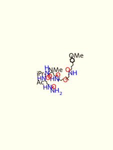 CNC(CCC(=O)NC(C)(C)CCOC(C)(C)CCNC(=O)CCCc1ccc(OC)cc1)C(=O)NC(C(=O)NC(CCCNC(N)=O)C(C)=O)C(C)C